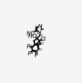 N#Cc1cncn1CC(O)(Cc1ccc(F)c(F)c1F)C1(Cl)CC1